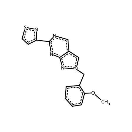 COc1ccccc1Cn1cc2cnc(-c3ccsn3)nc2n1